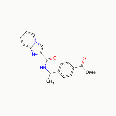 COC(=O)c1ccc(C(C)NC(=O)c2cn3ccccc3n2)cc1